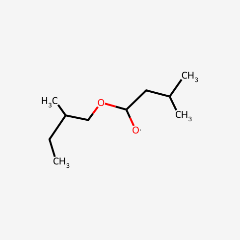 CCC(C)COC([O])CC(C)C